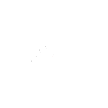 O=C1OC(CCCO)CN1C1=COC=C(C2=CC=CCC2)O1